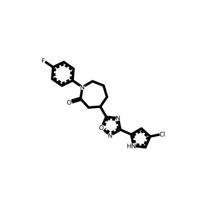 O=C1CC(c2nc(-c3cc(Cl)c[nH]3)no2)CCCN1c1ccc(F)cc1